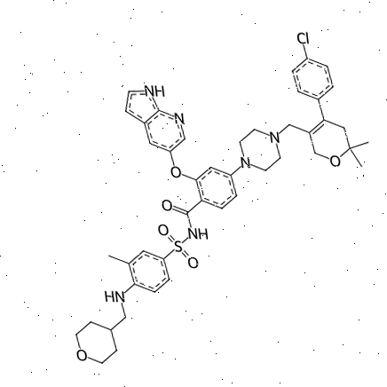 Cc1cc(S(=O)(=O)NC(=O)c2ccc(N3CCN(CC4=C(c5ccc(Cl)cc5)CC(C)(C)OC4)CC3)cc2Oc2cnc3[nH]ccc3c2)ccc1NCC1CCOCC1